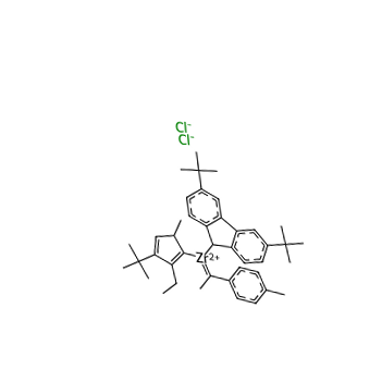 CCC1=[C](/[Zr+2](=[C](\C)c2ccc(C)cc2)[CH]2c3ccc(C(C)(C)C)cc3-c3cc(C(C)(C)C)ccc32)C(C)C=C1C(C)(C)C.[Cl-].[Cl-]